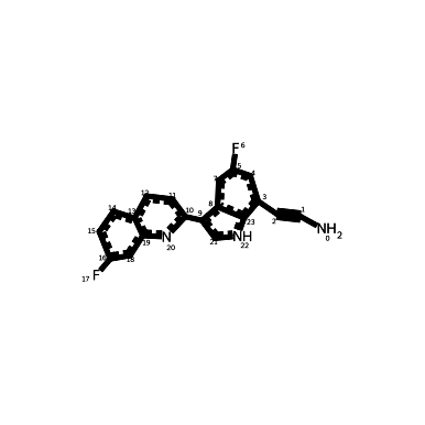 NC#Cc1cc(F)cc2c(-c3ccc4ccc(F)cc4n3)c[nH]c12